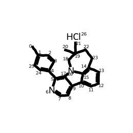 Cc1ccc(-c2nccc3c4cccc5c4n(c23)CC(C)(C)CC5)cc1.Cl